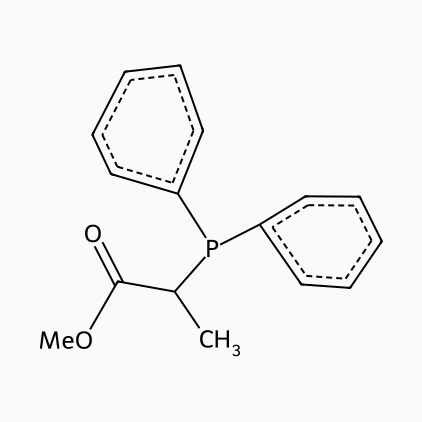 COC(=O)C(C)P(c1ccccc1)c1ccccc1